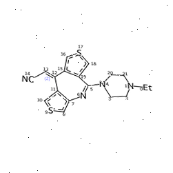 CCN1CCN(C2=Nc3cscc3/C(=C\C#N)c3cscc32)CC1